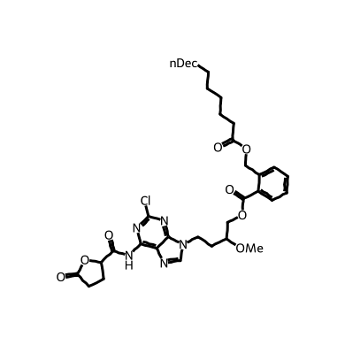 CCCCCCCCCCCCCCCC(=O)OCc1ccccc1C(=O)OCC(CCn1cnc2c(NC(=O)C3CCC(=O)O3)nc(Cl)nc21)OC